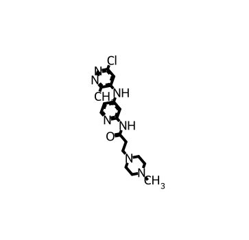 Cc1nnc(Cl)cc1Nc1ccnc(NC(=O)CCN2CCN(C)CC2)c1